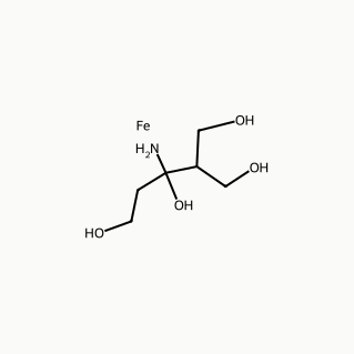 NC(O)(CCO)C(CO)CO.[Fe]